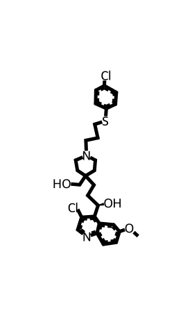 COc1ccc2ncc(Cl)c([C@H](O)CCC3(CO)CCN(CCCSc4ccc(Cl)cc4)CC3)c2c1